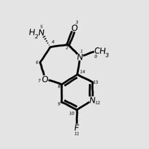 CN1C(=O)[C@@H](N)COc2cc(F)ncc21